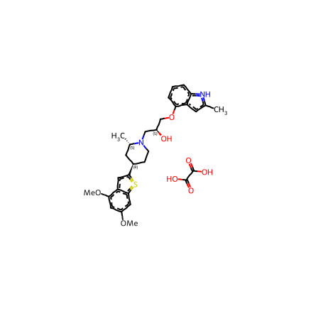 COc1cc(OC)c2cc([C@@H]3CCN(C[C@H](O)COc4cccc5[nH]c(C)cc45)[C@@H](C)C3)sc2c1.O=C(O)C(=O)O